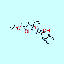 CCOCC(O)CC(C)(CC)OCC(O)CC(C)CC